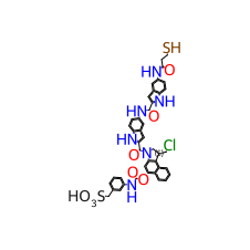 O=C(CCS)Nc1ccc2[nH]c(C(=O)Nc3ccc4[nH]c(C(=O)N5C[C@@H](CCl)c6c5cc(OC(=O)Nc5cccc(CS(=O)(=O)O)c5)c5ccccc65)cc4c3)cc2c1